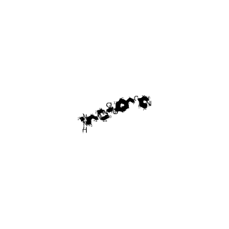 O=C(Oc1ccc(CCOc2ccncc2)cc1)N1CCN(CCc2c[nH]cn2)CC1